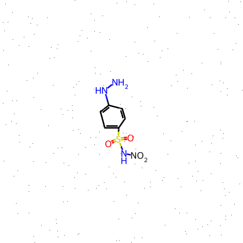 NNc1ccc(S(=O)(=O)N[N+](=O)[O-])cc1